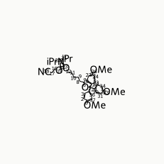 COc1ccc(C(OCCCCCCOP(OCCC#N)N(C(C)C)C(C)C)(c2ccc(OC)cc2)c2ccc(OC)cc2)cc1